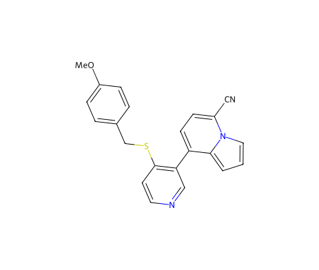 COc1ccc(CSc2ccncc2-c2ccc(C#N)n3cccc23)cc1